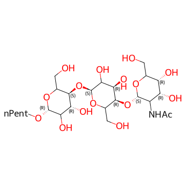 CCCCCO[C@@H]1OC(CO)[C@@H](O[C@@H]2OC(CO)[C@H](O[C@@H]3OC(CO)[C@H](O)[C@H](O)C3NC(C)=O)[C@H](O)C2O)[C@H](O)C1O